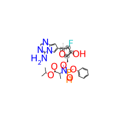 CC(C)OC(=O)C(C)N(OC[C@H]1O[C@@](C)(c2cc3ncnc(N)n3c2)[C@H](F)[C@@H]1O)[PH](=O)Oc1ccccc1